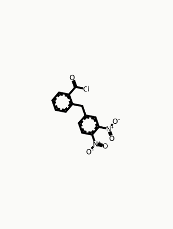 O=C(Cl)c1ccccc1Cc1ccc([N+](=O)[O-])c([N+](=O)[O-])c1